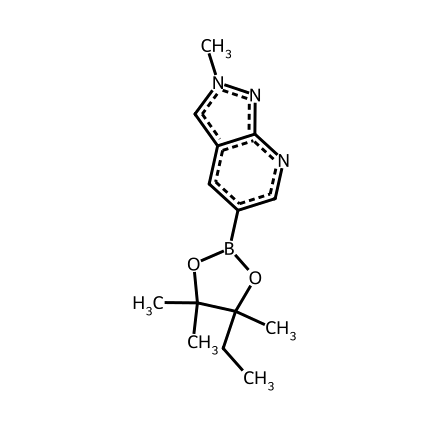 CCC1(C)OB(c2cnc3nn(C)cc3c2)OC1(C)C